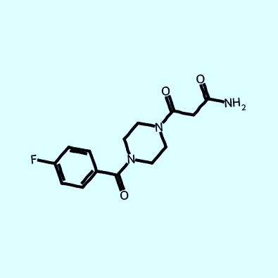 NC(=O)CC(=O)N1CCN(C(=O)c2ccc(F)cc2)CC1